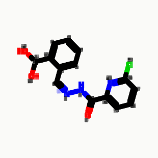 O=C(N/N=C\c1ccccc1B(O)O)c1cccc(Cl)n1